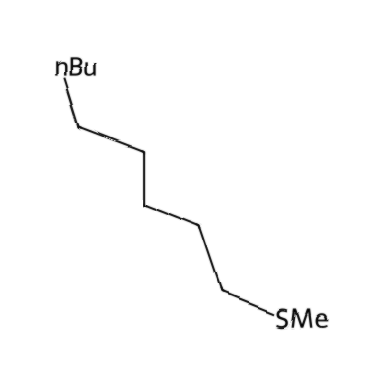 [CH2]SCCCCCCCCC